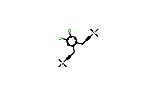 C[Si](C)(C)C#CCc1cc(Cl)c(Cl)cc1CC#C[Si](C)(C)C